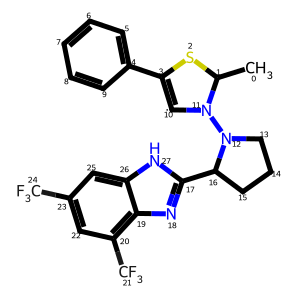 CC1SC(c2ccccc2)=[C]N1N1CCCC1c1nc2c(C(F)(F)F)cc(C(F)(F)F)cc2[nH]1